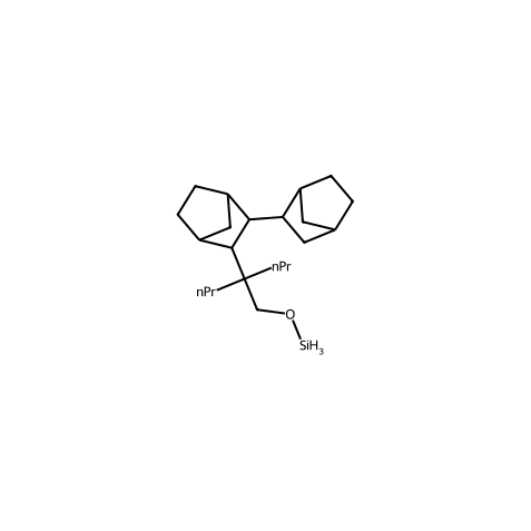 CCCC(CCC)(CO[SiH3])C1C2CCC(C2)C1C1CC2CCC1C2